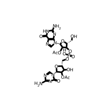 CC(=O)OC1C(O)[C@@H](COP(=O)(O)OC2C(OC(C)=O)[C@H](n3cnc4c(=O)[nH]c(N)nc43)O[C@@H]2CO)O[C@H]1n1cnc(N)nc1=O